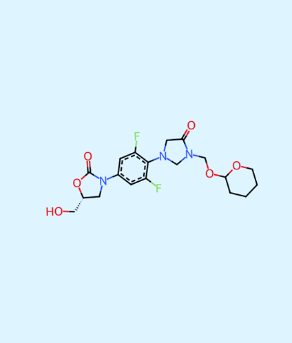 O=C1CN(c2c(F)cc(N3C[C@H](CO)OC3=O)cc2F)CN1COC1CCCCO1